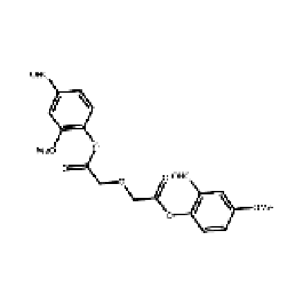 COc1ccc(OC(=O)COCC(=O)Oc2ccc(C=O)cc2OC)c(C=O)c1